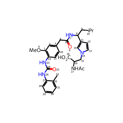 COc1cc(CC(=O)NC(CC(C)C)c2ccn(CC(NC(C)=O)C(=O)O)c2)ccc1NC(=O)Nc1ccccc1C